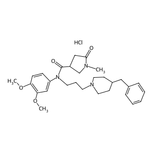 COc1ccc(N(CCCN2CCC(Cc3ccccc3)CC2)C(=O)C2CC(=O)N(C)C2)cc1OC.Cl